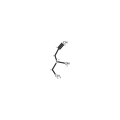 C#CCN(O)CC